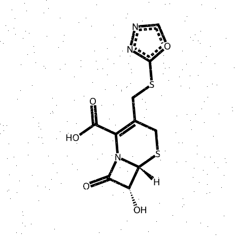 O=C(O)C1=C(CSc2nnco2)CS[C@@H]2[C@H](O)C(=O)N12